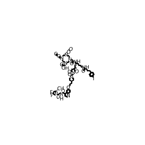 C#C[C@H]1CC(F)(F)CN1C(=O)CNC(=O)c1ccnc2ccc(OCCCC3CCN(C(=O)CN4C(=O)CC(SC[C@H](CCCCNC(=O)CCCc5ccc(I)cc5)NC(=O)CN5CCN(COC=O)CCN(COC=O)CCN(CC(=O)O)CC5)C4=O)CC3)cc12